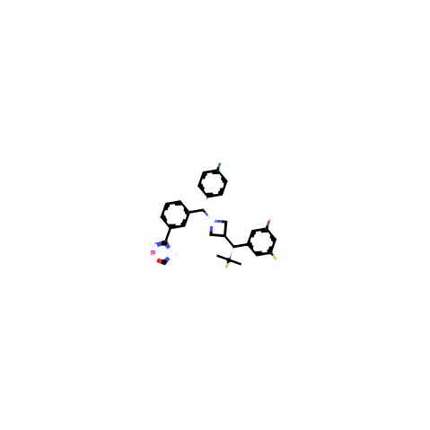 CC(C)(F)[C@H](c1cc(F)cc(Br)c1)C1CN([C@@H](c2ccc(Cl)cc2)c2cccc(-c3ncon3)c2)C1